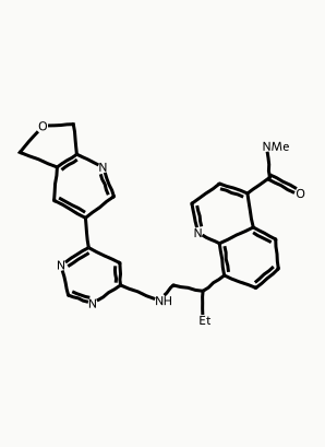 CCC(CNc1cc(-c2cnc3c(c2)COC3)ncn1)c1cccc2c(C(=O)NC)ccnc12